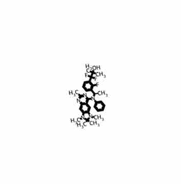 Cc1nc(N(c2ccccc2)[C@H](C)c2cccc(C(F)(F)C(C)(C)O)c2F)c2cc3c(cc2n1)N(C)C(C)(C)N3C